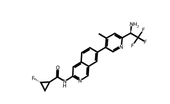 Cc1cc([C@@H](N)C(F)(F)F)ncc1-c1ccc2cc(NC(=O)C3C[C@@H]3F)ncc2c1